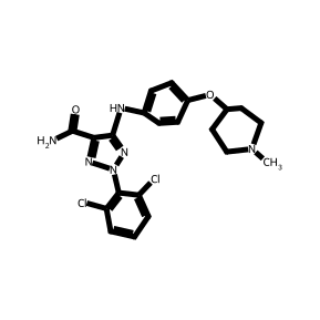 CN1CCC(Oc2ccc(Nc3nn(-c4c(Cl)cccc4Cl)nc3C(N)=O)cc2)CC1